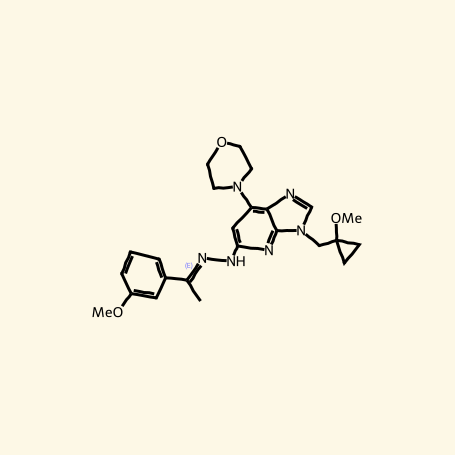 COc1cccc(/C(C)=N/Nc2cc(N3CCOCC3)c3ncn(CC4(OC)CC4)c3n2)c1